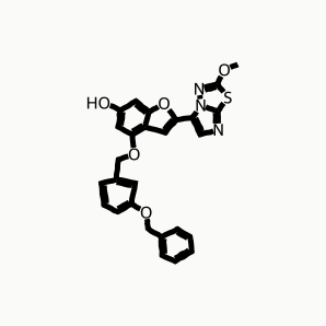 COc1nn2c(-c3cc4c(OCc5cccc(OCc6ccccc6)c5)cc(O)cc4o3)cnc2s1